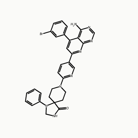 Nc1ncnc2nc(-c3ccc(N4CCC5(CC4)C(=O)NCN5c4ccccc4)nc3)cc(-c3cccc(Br)c3)c12